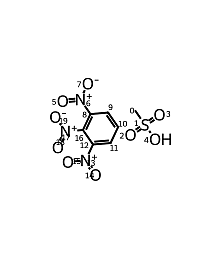 CS(=O)(=O)O.O=[N+]([O-])c1cccc([N+](=O)[O-])c1[N+](=O)[O-]